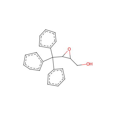 OCC1OC1C(c1ccccc1)(c1ccccc1)c1ccccc1